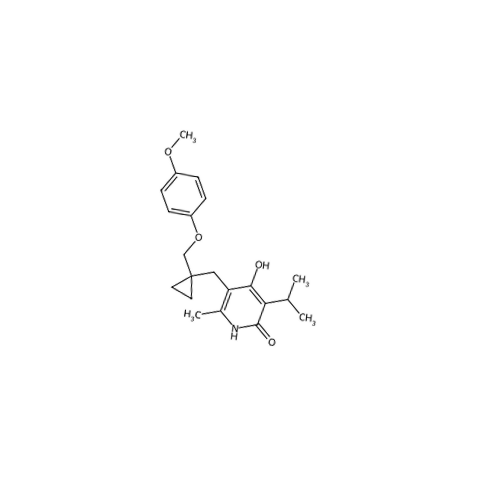 COc1ccc(OCC2(Cc3c(C)[nH]c(=O)c(C(C)C)c3O)CC2)cc1